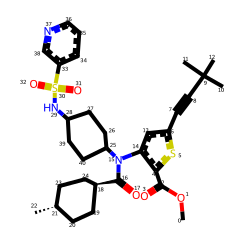 COC(=O)c1sc(C#CC(C)(C)C)cc1N(C(=O)[C@H]1CC[C@H](C)CC1)C1CCC(NS(=O)(=O)c2cccnc2)CC1